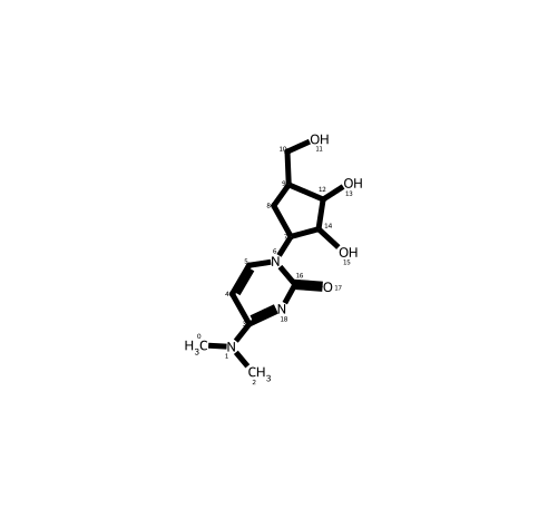 CN(C)c1ccn(C2CC(CO)C(O)C2O)c(=O)n1